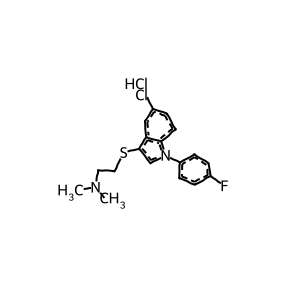 CN(C)CCSc1cn(-c2ccc(F)cc2)c2ccc(Cl)cc12.Cl